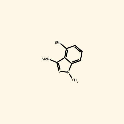 CNc1nn(C)c2cccc(C(C)(C)C)c12